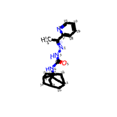 C/C(=N\NC(=O)NC12CC3CC(CC(C3)C1)C2)c1ccccn1